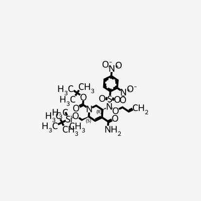 C=CCON([C@H]1CN(C(=O)OC(C)(C)C)[C@H](CO[Si](C)(C)C(C)(C)C)C=C1C(N)=O)S(=O)(=O)c1ccc([N+](=O)[O-])cc1[N+](=O)[O-]